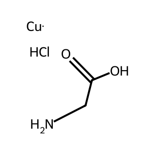 Cl.NCC(=O)O.[Cu]